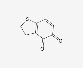 O=C1C=CC2=C(CCS2)C1=O